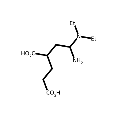 CCN(CC)C(N)CC(CCC(=O)O)C(=O)O